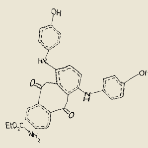 CCOC(N)=O.O=C1c2ccccc2C(=O)c2c(Nc3ccc(O)cc3)ccc(Nc3ccc(O)cc3)c21